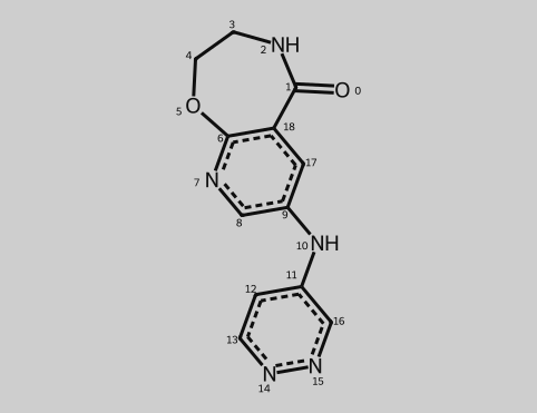 O=C1NCCOc2ncc(Nc3ccnnc3)cc21